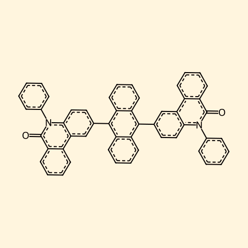 O=c1c2ccccc2c2cc(-c3c4ccccc4c(-c4ccc5c(c4)c4ccccc4c(=O)n5-c4ccccc4)c4ccccc34)ccc2n1-c1ccccc1